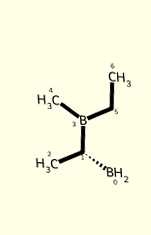 B[C@H](C)B(C)CC